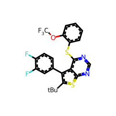 CC(C)(C)c1sc2ncnc(Sc3ccccc3OC(F)(F)F)c2c1-c1ccc(F)c(F)c1